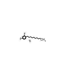 CCCCCCCCCCc1ccc(F)[c]c1F.[Ti]